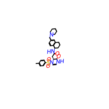 Cc1ccc(S(=O)(=O)N2C=CNC(=O)[C@@H]2CC(=O)N[C@@H]2CCCc3cc(CN4CCCCC4)ccc32)cc1